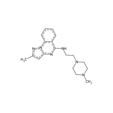 Cc1cc2nc(NCCN3CCN(C)CC3)c3ccccc3n2n1